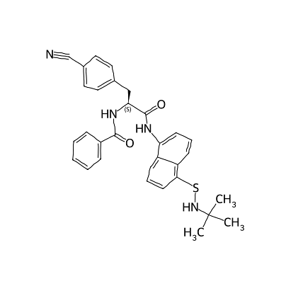 CC(C)(C)NSc1cccc2c(NC(=O)[C@H](Cc3ccc(C#N)cc3)NC(=O)c3ccccc3)cccc12